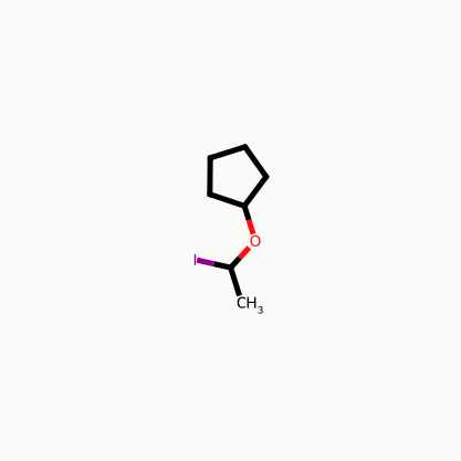 CC(I)OC1CCCC1